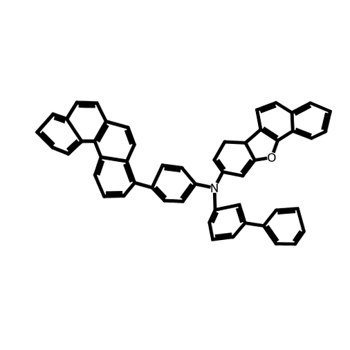 C1=C2Oc3c(ccc4ccccc34)C2CC=C1N(c1ccc(-c2cccc3c2ccc2ccc4ccccc4c23)cc1)c1cccc(-c2ccccc2)c1